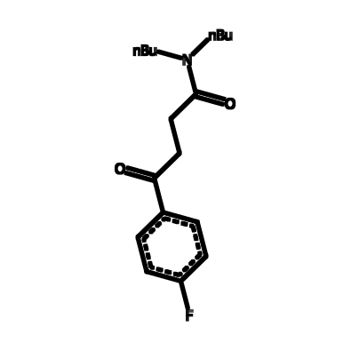 CCCCN(CCCC)C(=O)CCC(=O)c1ccc(F)cc1